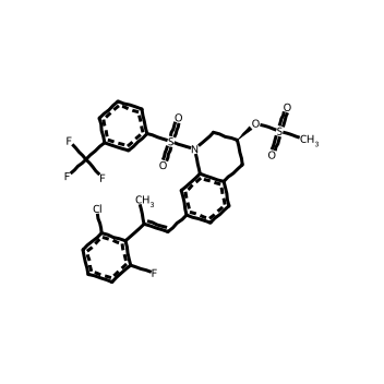 CC(=Cc1ccc2c(c1)N(S(=O)(=O)c1cccc(C(F)(F)F)c1)C[C@@H](OS(C)(=O)=O)C2)c1c(F)cccc1Cl